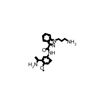 C=C(N)c1cc(NC(=O)c2nn(CCCN)c3ccccc23)ccc1OC